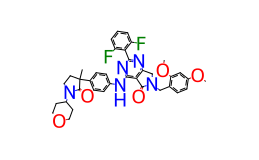 COc1ccc(CN2Cc3nc(-c4c(F)cccc4F)nc(Nc4ccc(C5(C)CCN(C6CCOCC6)C5=O)cc4)c3C2=O)c(OC)c1